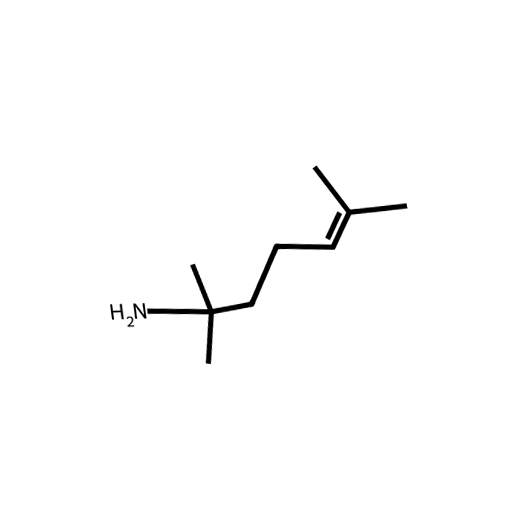 CC(C)=CCCC(C)(C)N